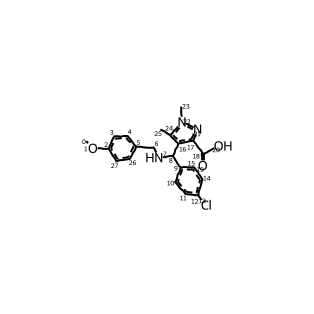 COc1ccc(CNC(c2ccc(Cl)cc2)c2c(C(=O)O)nn(C)c2C)cc1